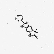 CC1(C)C(=S)Nc2cc3[nH]c(-c4cccnc4)nc3cc21